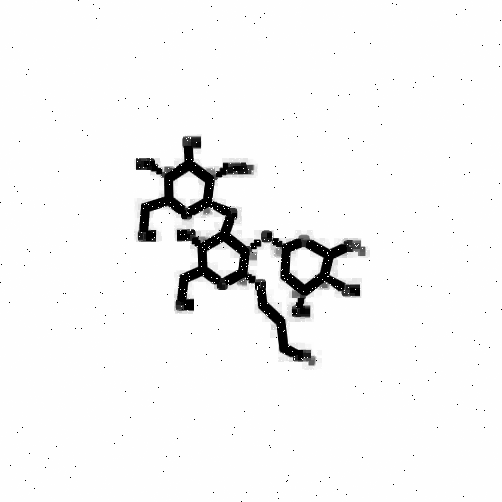 CC(=O)N[C@H]1C(O)[C@@H](O)C(CO)O[C@@H]1OC1[C@@H](O)C(CO)O[C@@H](OCCCN)[C@H]1O[C@H]1C[C@@H](O)[C@H](O)C(C)O1